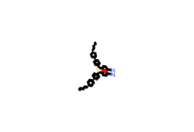 CCCCC[C@H]1CC[C@H](c2ccc(C(SC(c3ccc(C#N)cc3)c3ccc([C@H]4CC[C@H](CCCCC)CC4)cc3)c3ccc(C#N)cc3)cc2)CC1